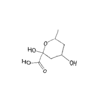 CC1CC(O)CC(O)(C(=O)O)O1